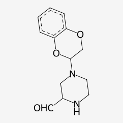 O=CC1CN(C2COc3ccccc3O2)CCN1